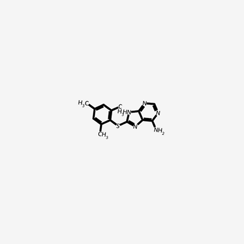 Cc1cc(C)c(Sc2nc3c(N)ncnc3[nH]2)c(C)c1